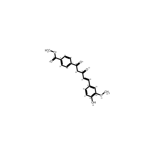 COC(=O)c1ccc(C(=O)CC(=O)C=Cc2ccc(O)c(OC)c2)cc1